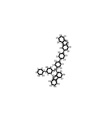 c1ccc(-c2ccc(N(c3ccc(-c4ccc(-c5ccc6sc7ccccc7c6c5)cc4)cc3)c3cccc4c3sc3ccccc34)cc2)cc1